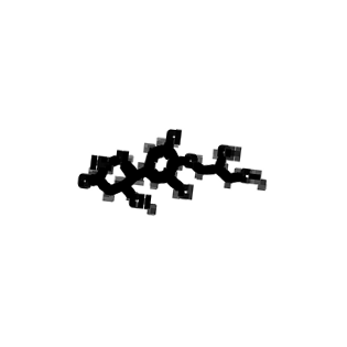 CCC(O)COc1c(Cl)cc(C2=NNC(=O)CC2C)cc1Cl